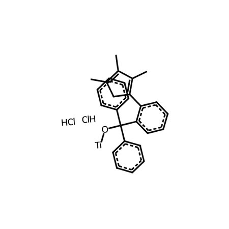 CC1=C(C)C(C)=C(c2ccccc2C([O][Ti])(c2ccccc2)c2ccccc2)C1.Cl.Cl